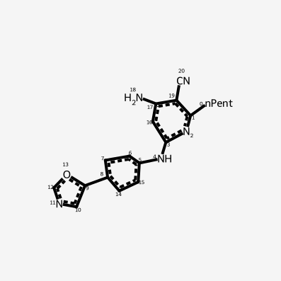 CCCCCc1nc(Nc2ccc(-c3cnco3)cc2)cc(N)c1C#N